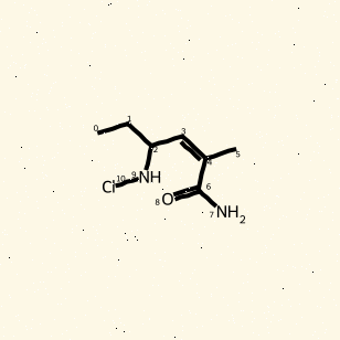 CCC(C=C(C)C(N)=O)NCl